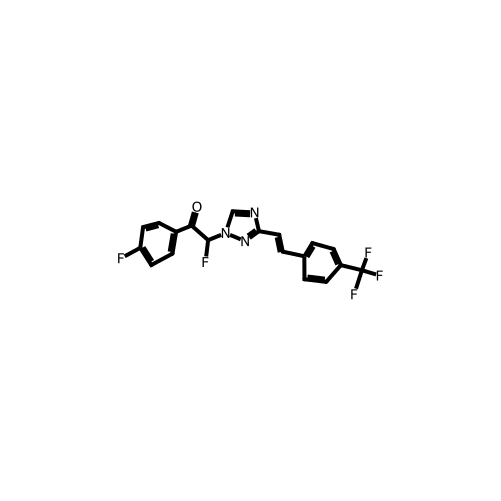 O=C(c1ccc(F)cc1)C(F)n1cnc(C=Cc2ccc(C(F)(F)F)cc2)n1